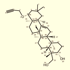 C#CCO[C@@H]1CC(C)(C)C[C@H]2C3=CC[C@@H]4[C@@]5(C)CC[C@H](O)[C@](C)(CO)[C@@H]5CC[C@@]4(C)[C@]3(C)CC[C@@]12C